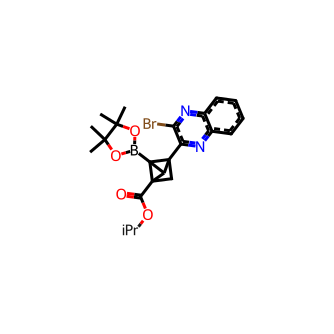 CC(C)OC(=O)C12CC(c3nc4ccccc4nc3Br)(C1)C2B1OC(C)(C)C(C)(C)O1